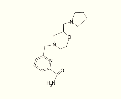 NC(=O)c1cccc(CN2CCOC(CN3CCCC3)C2)n1